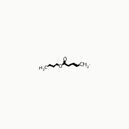 [CH2]C=CCC(=O)OCCCC